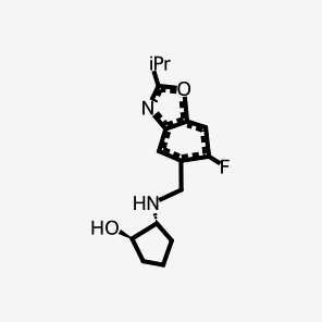 CC(C)c1nc2cc(CN[C@@H]3CCC[C@H]3O)c(F)cc2o1